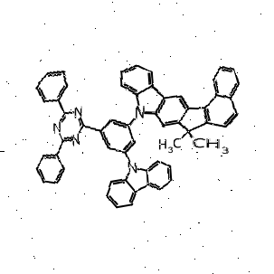 CC1(C)c2cc3c(cc2-c2c1ccc1ccccc21)c1ccccc1n3-c1cc(-c2nc(-c3ccccc3)nc(-c3ccccc3)n2)cc(-n2c3ccccc3c3ccccc32)c1